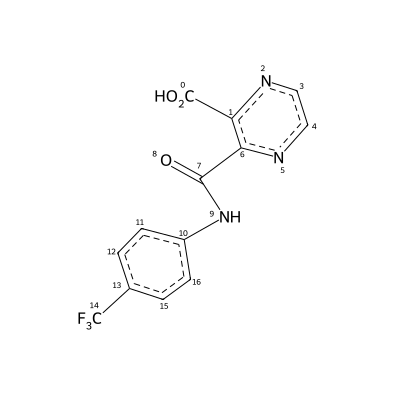 O=C(O)c1nccnc1C(=O)Nc1ccc(C(F)(F)F)cc1